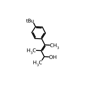 C/C(=C(/C)C(C)O)c1ccc(C(C)(C)C)cc1